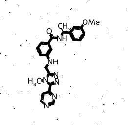 COc1cccc([C@@H](C)NC(=O)c2cccc(NCc3nnc(-c4ccncn4)n3C)c2)c1